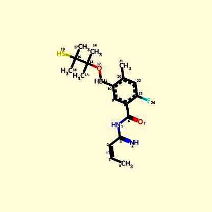 C/C=C\C(=N)NC(=O)c1cc(BOC(C)(C)C(C)(C)S)c(C)cc1F